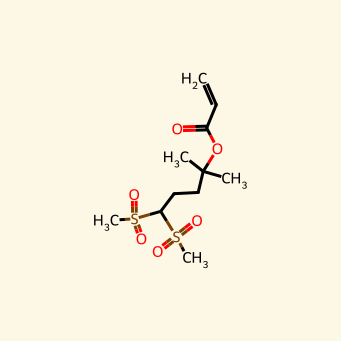 C=CC(=O)OC(C)(C)CCC(S(C)(=O)=O)S(C)(=O)=O